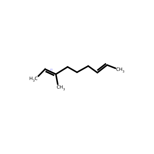 C/[C]=C(\C)CCCC=CC